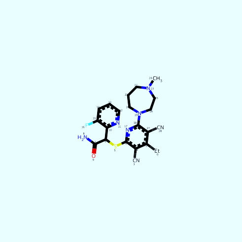 CCc1c(C#N)c(SC(C(N)=O)c2ncccc2F)nc(N2CCCN(C)CC2)c1C#N